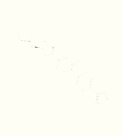 CCC(=O)N[C@@H]1CN(c2ccc(-c3ccc(-n4nccn4)nc3)c(F)c2)C(=O)O1